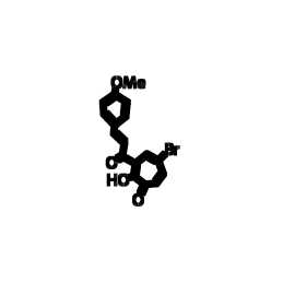 COc1ccc(/C=C/C(=O)c2cc(Br)ccc(=O)c2O)cc1